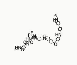 CN(CCC1CCN(C(=O)c2ccc(CNCc3ccc(-c4ccc5c(cnn5CC5CC5)c4)cc3)cc2)CC1)C[C@H]1CC[C@H](n2cc(NC(=O)c3coc(-c4ccnc(NCC5CC5)c4)n3)c(C(F)F)n2)CC1